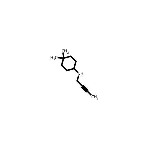 CC#CCNC1CCC(C)(C)CC1